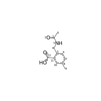 CC(=O)NCc1ccc(C)cc1C(=O)O